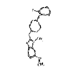 COc1ccc2nc(CN3CCC(c4ccccc4F)CC3)n(C)c2c1